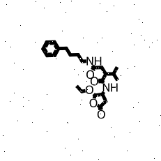 CCOC1OC(=O)CC1NC(=O)C(CC(=O)NCCCCc1ccccc1)C(C)C